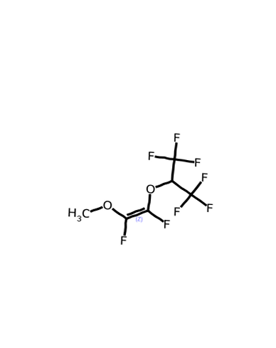 CO/C(F)=C(/F)OC(C(F)(F)F)C(F)(F)F